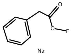 O=C(Cc1ccccc1)OF.[Na]